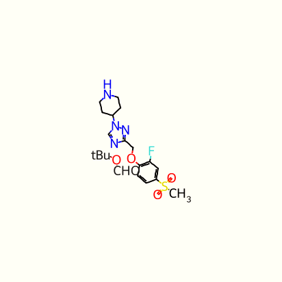 CC(C)(C)OC=O.CS(=O)(=O)c1ccc(OCc2ncn(C3CCNCC3)n2)c(F)c1